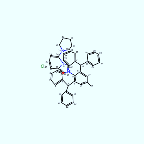 Cc1cc(C(c2ccccc2)c2ccccc2)c(-[n+]2cc3cccc(N4CCCCC4)n3c2)c(C(c2ccccc2)c2ccccc2)c1.[Cl-]